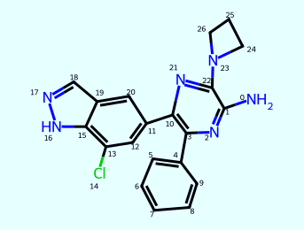 Nc1nc(-c2ccccc2)c(-c2cc(Cl)c3[nH]ncc3c2)nc1N1CCC1